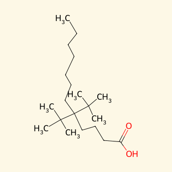 CCCCCCCC(CCCC(=O)O)(C(C)(C)C)C(C)(C)C